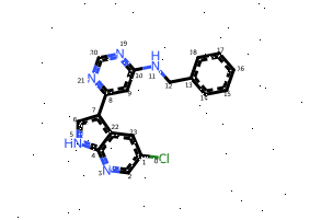 Clc1cnc2[nH]cc(-c3cc(NCc4ccccc4)ncn3)c2c1